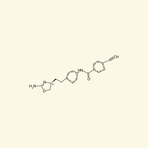 C#Cc1ccc(C(=O)Nc2ccc(CC[C@H]3COC(N)=N3)cc2)cc1